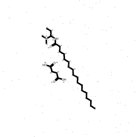 CCCCCCCCCCCCCCCCCC(=O)NC(CC)N(C)C.O=C(O)CCC(=O)O